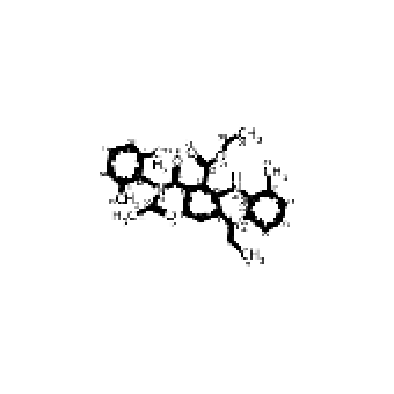 CCCc1ccc(C(=O)N(C(C)=O)c2c(C)cccc2C)c(C(=O)OCC)c1Nc1c(C)cccc1C